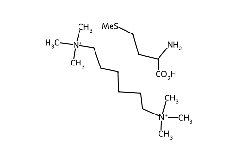 CSCCC(N)C(=O)O.C[N+](C)(C)CCCCCC[N+](C)(C)C